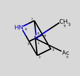 CC(=O)C1C2CC3C2NC3N1C